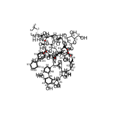 CN[C@H](CC(C)C)C(=O)NC1C(=O)N[C@@H](CC(N)=O)C(=O)N[C@H]2C(=O)NC3C(=O)N[C@H](C(=O)NC(C=O)(CO)c4cc(O)cc(O)c4-c4cc3ccc4O)[C@H](O)c3ccc(c(Cl)c3)Oc3cc2cc(c3OC2OC(CO)C(O)C(O)C2OC2CC(C)(NCC(OCc3ccc(-c4ccccc4)cc3)C(=O)OC)C(O)C(C)O2)Oc2ccc(cc2Cl)[C@H]1O